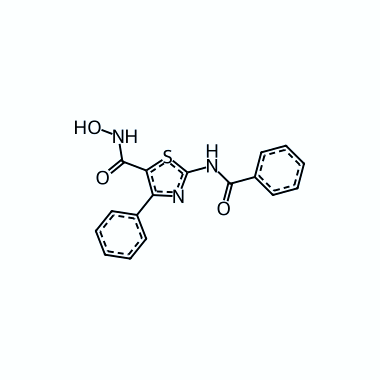 O=C(Nc1nc(-c2ccccc2)c(C(=O)NO)s1)c1ccccc1